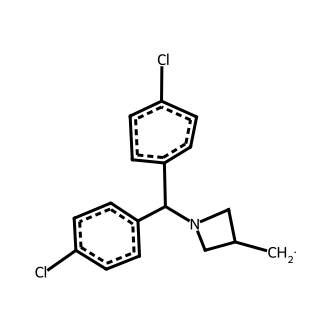 [CH2]C1CN(C(c2ccc(Cl)cc2)c2ccc(Cl)cc2)C1